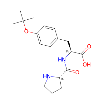 CC(C)(C)Oc1ccc(C[C@H](NC(=O)[C@@H]2CCCN2)C(=O)O)cc1